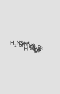 Nc1ncc(CN[C@@H]2C[C@H]2c2ccc(-c3cccc(C(F)(F)F)c3)nc2)s1